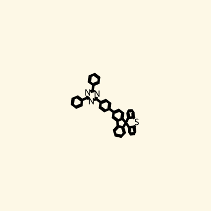 c1ccc(-c2nc(-c3ccccc3)nc(-c3ccc(-c4ccc5c(c4)-c4ccccc4C54c5ccccc5Sc5ccccc54)cc3)n2)cc1